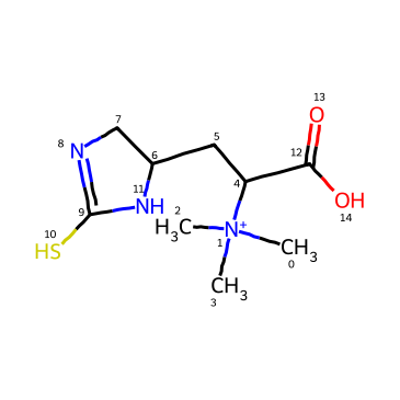 C[N+](C)(C)C(CC1CN=C(S)N1)C(=O)O